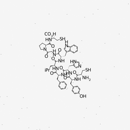 CC(C)C[C@H](NC(=O)[C@H](Cc1ccccc1)NC(=O)[C@H](Cc1cnc[nH]1)NC(=O)[C@H](Cc1ccc(O)cc1)NC(=O)[C@@H](N)CS)C(=O)N[C@@H](Cc1c[nH]c2ccccc12)C(=O)NCC(=O)N1CCC[C@H]1C(=O)N[C@@H](CS)C(=O)O